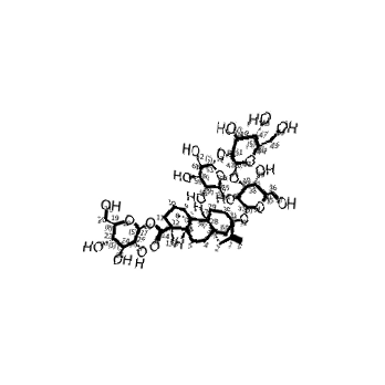 C=C1C[C@]23CC[C@H]4[C@@](C)(CCC[C@@]4(C)C(=O)O[C@@H]4O[C@H](CO)[C@@H](O)[C@H](O)[C@H]4O)[C@@H]2CC[C@@]1(O[C@@H]1O[C@H](CO)[C@@H](O)[C@H](O[C@@H]2O[C@H](CO)[C@@H](O)[C@H](O)[C@H]2O[C@@H]2O[C@@H](C)[C@H](O)[C@@H](O)[C@H]2O)[C@H]1O)C3